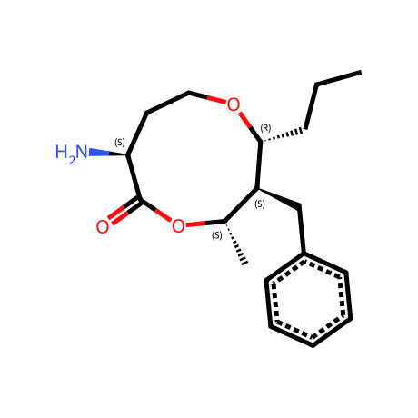 CCC[C@H]1OCC[C@H](N)C(=O)O[C@@H](C)[C@@H]1Cc1ccccc1